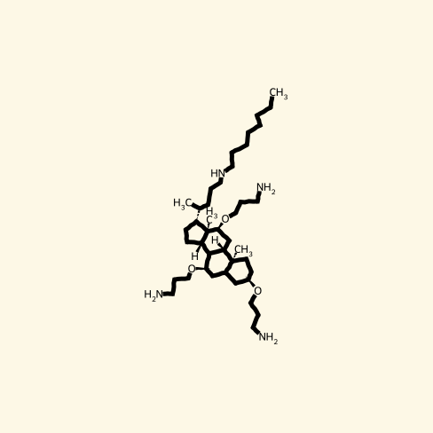 CCCCCCCCNCCCC(C)[C@H]1CC[C@H]2C3[C@H](OCCCN)CC4C[C@H](OCCCN)CC[C@]4(C)[C@H]3C[C@H](OCCCN)[C@]12C